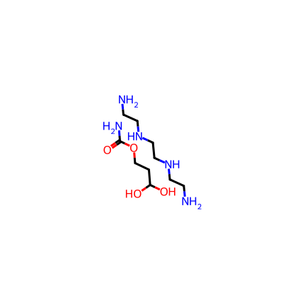 NC(=O)OCCC(O)O.NCCNCCNCCN